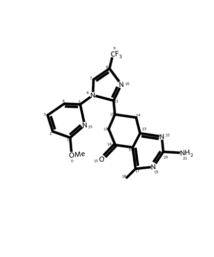 COc1cccc(-n2cc(C(F)(F)F)nc2C2CC(=O)c3c(C)nc(N)nc3C2)n1